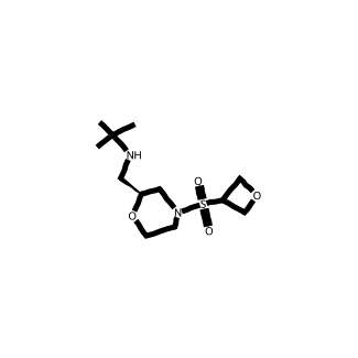 CC(C)(C)NC[C@H]1CN(S(=O)(=O)C2COC2)CCO1